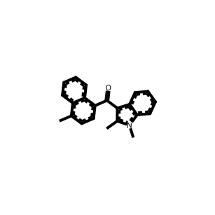 Cc1ccc(C(=O)c2c(C)n(C)c3ccccc23)c2ccccc12